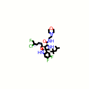 CC(C)CC(C)(C)C[C@H]1N[C@@H](C(=O)NCCN2CCOCC2)[C@H](C(C)/C=C\C=C(\Cl)CF)[C@@]12C(=O)Nc1cc(F)c(F)cc12